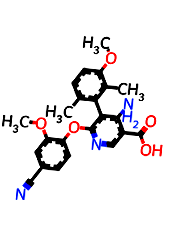 COc1cc(C#N)ccc1Oc1ncc(C(=O)O)c(N)c1-c1c(C)ccc(OC)c1C